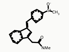 CNC(=O)CC1=CC(=Cc2ccc([S+](C)[O-])cc2)c2ccccc21